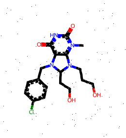 Cn1c2c(c(=O)[nH]c1=O)N(Cc1ccc(Cl)cc1)C(CCO)N2CCCO